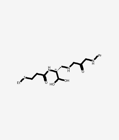 CCSCCC(=O)N[C@H](CNCC(=O)CNC(C)C)C(O)O